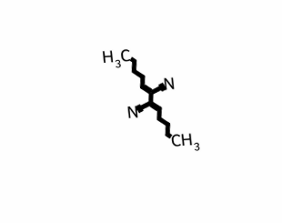 CCCCC=C(C#N)C(C#N)=CCCCC